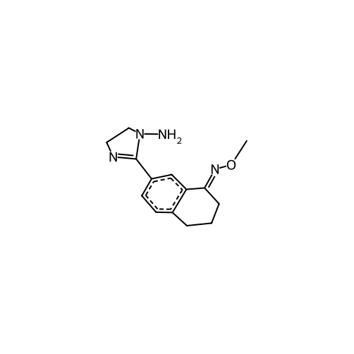 CON=C1CCCc2ccc(C3=NCCN3N)cc21